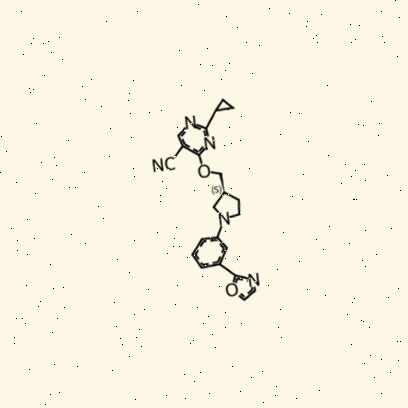 N#Cc1cnc(C2CC2)nc1OC[C@H]1CCN(c2cccc(-c3ncco3)c2)C1